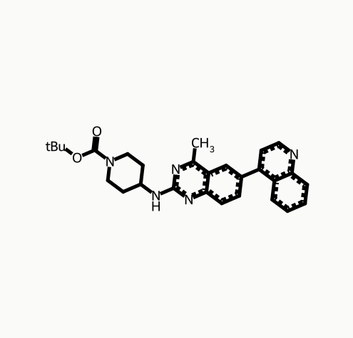 Cc1nc(NC2CCN(C(=O)OC(C)(C)C)CC2)nc2ccc(-c3ccnc4ccccc34)cc12